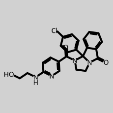 O=C(c1ccc(NCCO)nc1)N1CCN2C(=O)c3ccccc3C12c1ccc(Cl)cc1